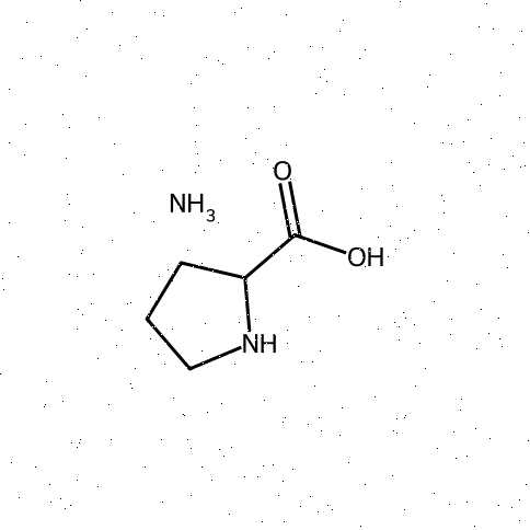 N.O=C(O)C1CCCN1